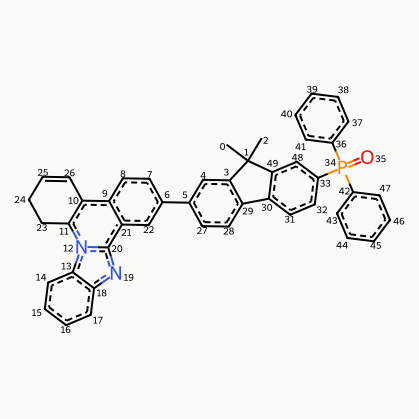 CC1(C)c2cc(-c3ccc4c5c(n6c7ccccc7nc6c4c3)CCC=C5)ccc2-c2ccc(P(=O)(c3ccccc3)c3ccccc3)cc21